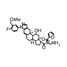 COCc1cc(-n2ncc3c2C=C2CC[C@@H]4C([C@@H](O)C[C@@]5(C)C4CC[C@]5(OC(=O)c4ccco4)C(=O)SCN)[C@@]2(C)C3)ccc1F